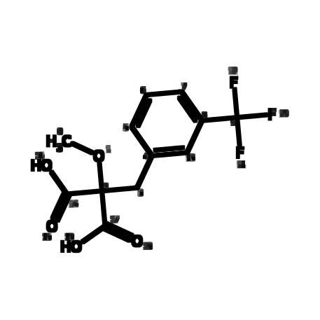 COC(Cc1cccc(C(F)(F)F)c1)(C(=O)O)C(=O)O